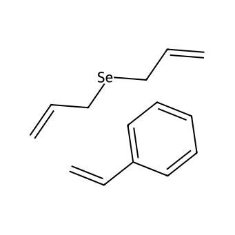 C=CC[Se]CC=C.C=Cc1ccccc1